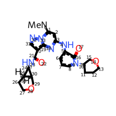 CNc1cc(Nc2cccn([C@H]3CCCOC3)c2=O)nc2c(C(=O)N[C@H]3[C@@H]4CCOC[C@@H]43)cnn12